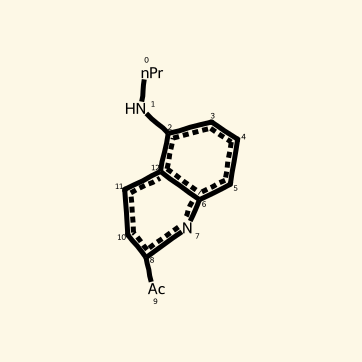 CCCNc1cccc2nc(C(C)=O)ccc12